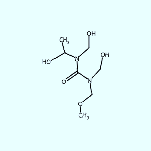 COCN(CO)C(=O)N(CO)C(C)O